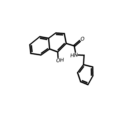 O=C(NCc1ccccc1)c1ccc2ccccc2c1O